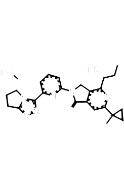 CC[C@@H](N)c1nc(C2(C)CC2)cc2c1CN(c1cccc(-c3nnc4n3[C@@H](CO)CC4)n1)C2=O